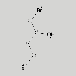 OC(CBr)CCBr